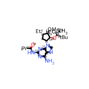 CC[C@H]1C[C@@H](n2cnc3c(N)nc(NC(=O)C(C)C)nc32)[C@H](O[Si](C)(C)C(C)(C)C)[C@@H]1OC